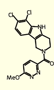 COc1ccc(C(=O)N2CCc3[nH]c4c(Cl)c(Cl)ccc4c3C2)nn1